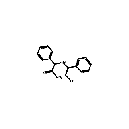 CCC(NC(C(N)=O)c1ccccc1)c1ccccc1